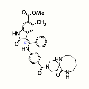 COC(=O)c1cc2c(cc1C)/C(=C(/Nc1ccc(C(=O)N3CCC4(CC3)NCCCCCNC4=O)cc1)c1ccccc1)C(=O)N2